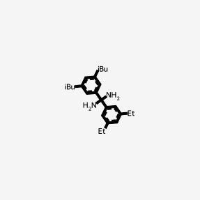 CCc1cc(CC)cc(C(N)(N)c2cc(C(C)CC)cc(C(C)CC)c2)c1